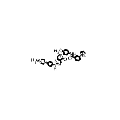 Cc1ccc(NC(=O)c2cccc(-n3cccn3)c2)cc1N1CCc2nc(Nc3ccc(N4CCN(C)CC4)cc3)ncc2C1=O